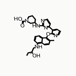 CC[C@H](O)CNc1cccc2c(Oc3ncccc3-c3ccnc(NC4CCCN(C(=O)O)C4)n3)c(C)ccc12